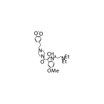 CCN(CC)CCCn1c(C)c(C(=O)N2CCN(CCc3ccc4c(c3)OCO4)CC2)c2cc(OC)ccc21